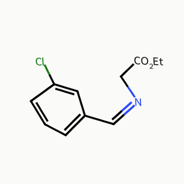 CCOC(=O)C/N=C\c1cccc(Cl)c1